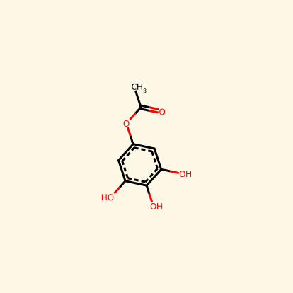 CC(=O)Oc1cc(O)c(O)c(O)c1